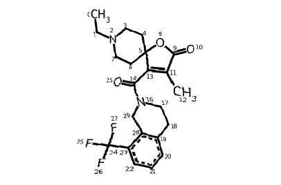 CCN1CCC2(CC1)OC(=O)C(C)=C2C(=O)N1CCc2cccc(C(F)(F)F)c2C1